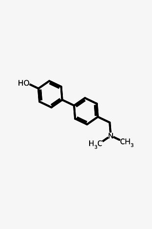 CN(C)Cc1ccc(-c2ccc(O)cc2)cc1